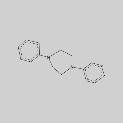 [c]1cccc(N2CCN(c3ccccc3)CC2)c1